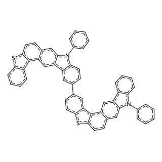 c1ccc(-n2c3ccccc3c3cc4c(ccc5sc6ccc(-c7ccc8c(c7)c7cc9c(ccc%10sc%11ccccc%11c%109)cc7n8-c7ccccc7)cc6c54)cc32)cc1